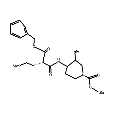 CCCC1CN(C(=O)OC(C)(C)C)CCC1NC(=O)[C@H](CCSC)C(=O)OCc1ccccc1